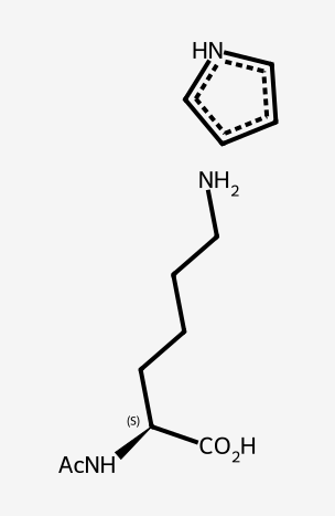 CC(=O)N[C@@H](CCCCN)C(=O)O.c1cc[nH]c1